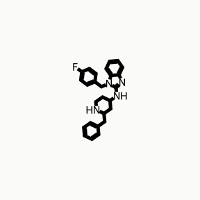 Fc1ccc(Cn2c(NC3CCNC(Cc4ccccc4)C3)nc3ccccc32)cc1